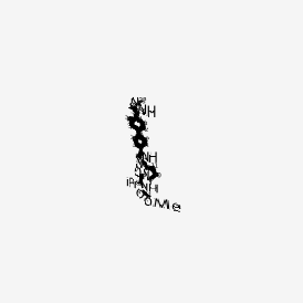 COCC(=O)N[C@H](C(=O)N1CCCC1c1ncc(-c2ccc(-c3ccc(-c4cnc[nH]4)cc3)cc2)[nH]1)C(C)C